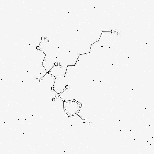 CCCCCCCCCC(OS(=O)(=O)c1ccc(C)cc1)[N+](C)(C)CCOC